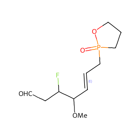 COC(/C=C/CP1(=O)CCCO1)C(F)CC=O